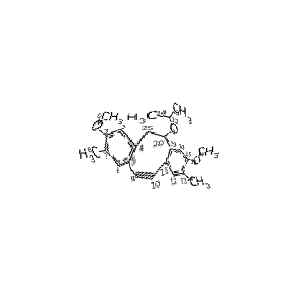 COc1cc2c(cc1C)C#Cc1cc(C)c(OC)cc1C(OC(C)C)C2